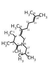 C=C(C(C)CC)N(C/C=C(/C)CCC=C(C)C)CC(C)C